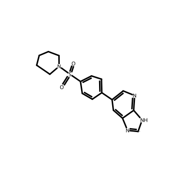 O=S(=O)(c1ccc(-c2cnc3[nH][c]nc3c2)cc1)N1CCCCC1